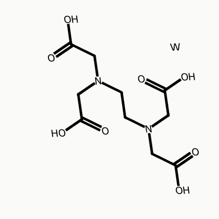 O=C(O)CN(CCN(CC(=O)O)CC(=O)O)CC(=O)O.[W]